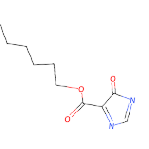 CCCCCCOC(=O)C1=NC=NC1=O